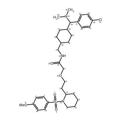 COc1ccc(S(=O)(=O)N2CCCCC2CCOCC(=O)NCC2CCC(C(c3ccc(Cl)cc3)N(C)C)CC2)cc1